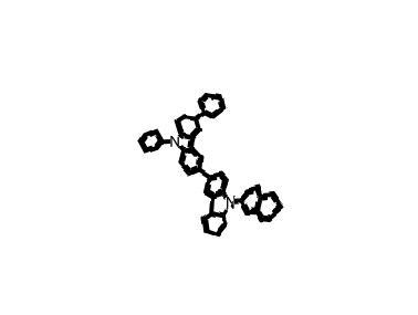 C1=CC2c3cc(-c4ccc5c(c4)c4c(n5-c5ccccc5)=CCC(c5ccccc5)C=4)ccc3N(c3ccc4ccccc4c3)C2C=C1